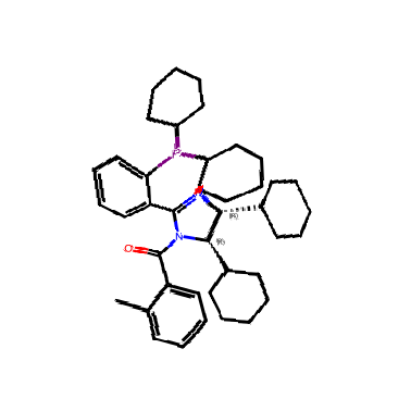 Cc1ccccc1C(=O)N1C(c2ccccc2P(C2CCCCC2)C2CCCCC2)=N[C@H](C2CCCCC2)[C@H]1C1CCCCC1